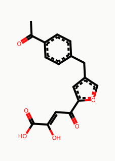 CC(=O)c1ccc(Cc2coc(C(=O)C=C(O)C(=O)O)c2)cc1